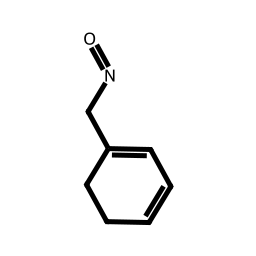 O=NCC1=CC=CCC1